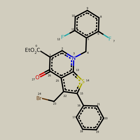 CCOC(=O)c1cn(Cc2c(F)cccc2F)c2sc(-c3ccccc3)c(CBr)c2c1=O